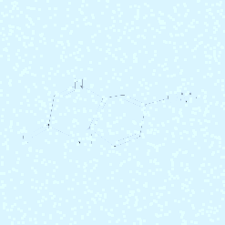 COc1ccc2[nH]c(=O)cnc2c1